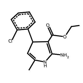 CCOC(=O)C1=C(N)NC(C)=CC1c1ccccc1Cl